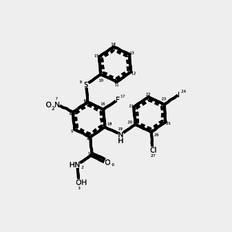 O=C(NO)c1cc([N+](=O)[O-])c(Sc2ccccc2)c(F)c1Nc1ccc(I)cc1Cl